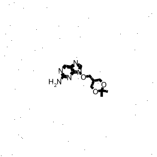 CC1(C)OCC(COn2cnc3cnc(N)nc32)CO1